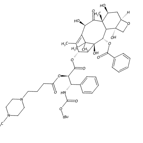 CC1=C2[C@@H](O)C(=O)[C@@]3(C)C([C@H](OC(=O)c4ccccc4)[C@](O)(C[C@@H]1OC(=O)[C@H](OC(=O)CCCN1CCN(C)CC1)[C@@H](NC(=O)OC(C)(C)C)c1ccccc1)C2(C)C)[C@]1(O)CO[C@@H]1C[C@@H]3O